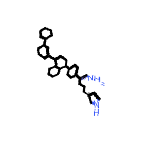 N/C=C(\CCC[C@H]1C=CNC1)C1=CC=C(C2CCC(C3=CC(C4CCCCC4)CCC3)C3CCCCC23)CC1